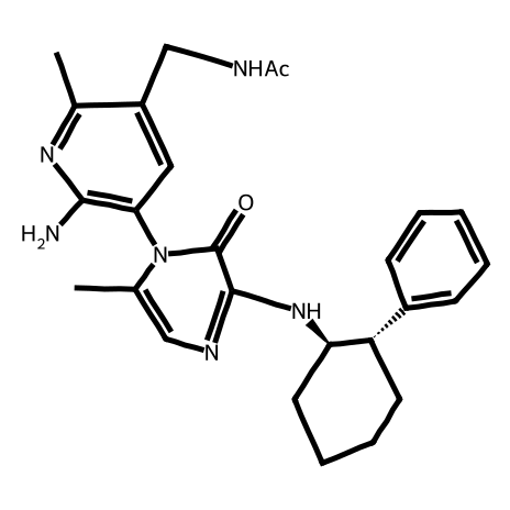 CC(=O)NCc1cc(-n2c(C)cnc(N[C@@H]3CCCC[C@H]3c3ccccc3)c2=O)c(N)nc1C